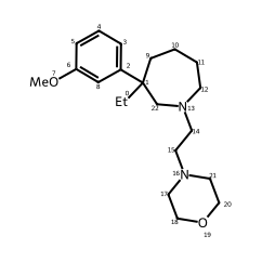 CCC1(c2cccc(OC)c2)CCCCN(CCN2CCOCC2)C1